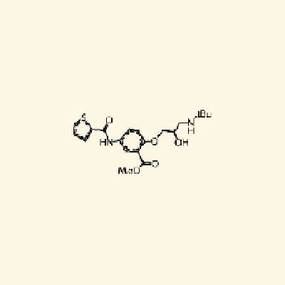 COC(=O)c1cc(NC(=O)c2cccs2)ccc1OCC(O)CNC(C)(C)C